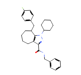 O=C(NCc1ccccc1)c1nn(C2CCCCC2)c2c1CCCCC2Cc1ccc(F)cc1